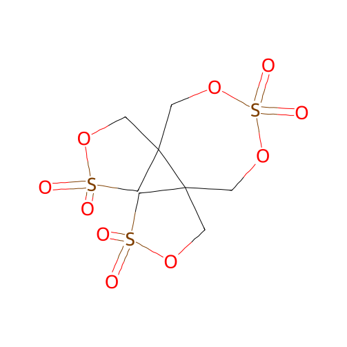 O=S1(=O)CC2(CO1)COS(=O)(=O)OCC21COS(=O)(=O)C1